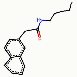 [CH2]CCCNC(=O)Cc1ccc2ccccc2c1